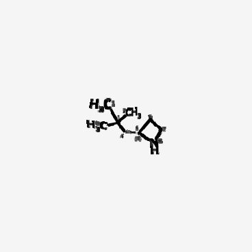 CC(C)(C)C[C@@H]1CCN1